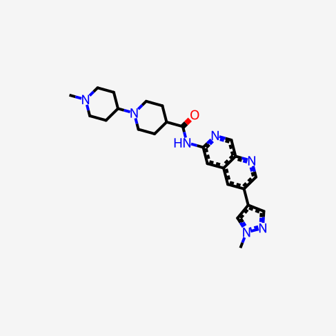 CN1CCC(N2CCC(C(=O)Nc3cc4cc(-c5cnn(C)c5)cnc4cn3)CC2)CC1